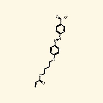 C=CC(=O)OCCCCOc1ccc(/N=N/c2ccc([N+](=O)[O-])cc2)cc1